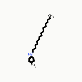 CCCCCCCCCCCCCCCCCCNc1ccc(C)cc1